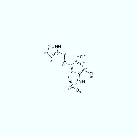 CS(=O)(=O)Nc1cc(OCC2=NCCN2)ccc1Cl.Cl